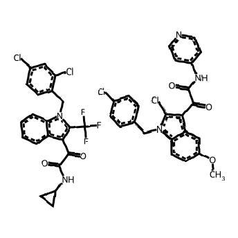 COc1ccc2c(c1)c(C(=O)C(=O)Nc1ccncc1)c(Cl)n2Cc1ccc(Cl)cc1.O=C(NC1CC1)C(=O)c1c(C(F)(F)F)n(Cc2ccc(Cl)cc2Cl)c2ccccc12